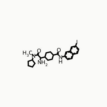 CN(C(=O)C(N)C1CCC(C(=O)Nc2ccc3ccc(I)cc3c2)CC1)C1CCCC1